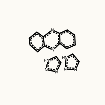 c1c[nH]nn1.c1c[nH]nn1.c1ccc2nc3ccccc3nc2c1